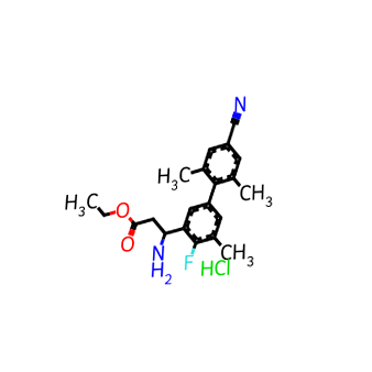 CCOC(=O)CC(N)c1cc(-c2c(C)cc(C#N)cc2C)cc(C)c1F.Cl